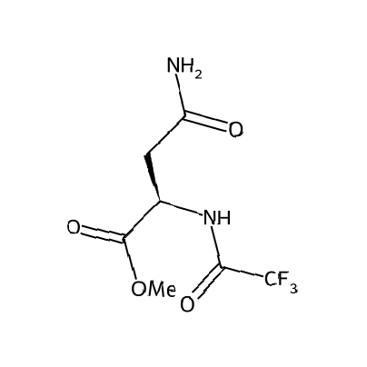 COC(=O)[C@@H](CC(N)=O)NC(=O)C(F)(F)F